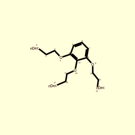 CCCCCCCCCCCCOc1c[c]cc(OCCCCCCCCCCCC)c1OCCCCCCCCCCCC